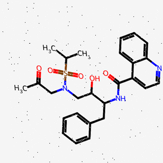 CC(=O)CN(CC(O)C(Cc1ccccc1)NC(=O)c1ccnc2ccccc12)S(=O)(=O)C(C)C